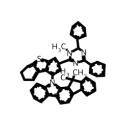 CN1C(c2cc(-n3c4ccccc4c4ccc5c(c43)C(C)(C)c3ccccc3-5)c3c4c(sc3c2)=CCCC=4)=NC(c2ccccc2)=NC1c1ccccc1